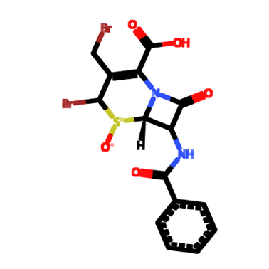 O=C(O)C1=C(CBr)C(Br)[S+]([O-])[C@H]2C(NC(=O)c3ccccc3)C(=O)N12